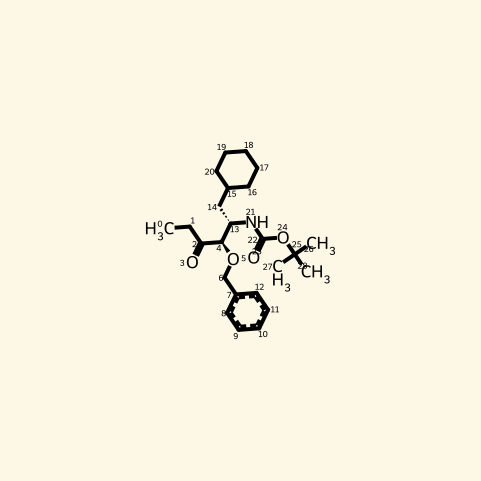 CCC(=O)[C@H](OCc1ccccc1)[C@H](CC1CCCCC1)NC(=O)OC(C)(C)C